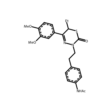 CCC1SC(=O)N(CCc2ccc(NC(C)=O)cc2)N=C1c1ccc(OC)c(OC)c1